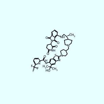 C[C@H](CNc1cccc2c1C(=O)N(C1CCC(=O)NC1=O)C2=O)C1CCN(CC2CCN(c3nc4cc(C(C)(C)O)c(NC(=O)c5cccc(C(F)(F)F)n5)cc4s3)CC2)CC1